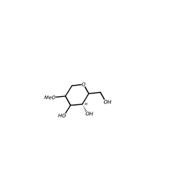 COC1COC(CO)[C@H](O)C1O